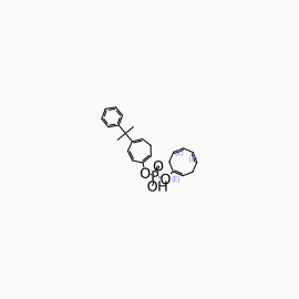 CC(C)(C1=CCC=C(OP(=O)(O)O/C2=C/C/C=C\C=C/C2)C=C1)c1ccccc1